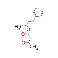 CC(=O)CC(=O)OC(C)C=Cc1ccccc1